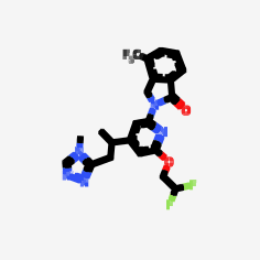 CC(Cc1nncn1C)c1cc(OCC(F)F)nc(N2Cc3c(cccc3C(F)(F)F)C2=O)c1